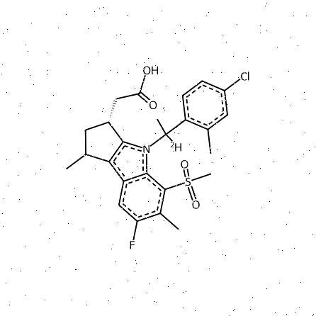 [2H]C(C)(c1ccc(Cl)cc1C)n1c2c(c3cc(F)c(C)c(S(C)(=O)=O)c31)C(C)C[C@@H]2CC(=O)O